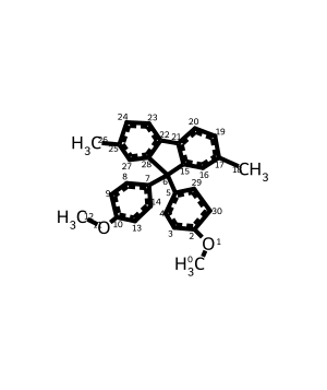 COc1ccc(C2(c3ccc(OC)cc3)c3cc(C)ccc3-c3ccc(C)cc32)cc1